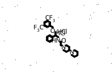 Cl.Cl.O=C(CN1CCC(N2CCCCC2)CC1)NCC(COCc1cc(C(F)(F)F)cc(C(F)(F)F)c1)c1ccccc1